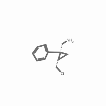 NC[C@]1(c2ccccc2)C[C@@H]1CCl